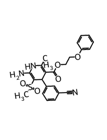 CC1=C(C(=O)OCCOc2ccccc2)C(c2cccc(C#N)c2)C(S(C)(=O)=O)=C(N)N1